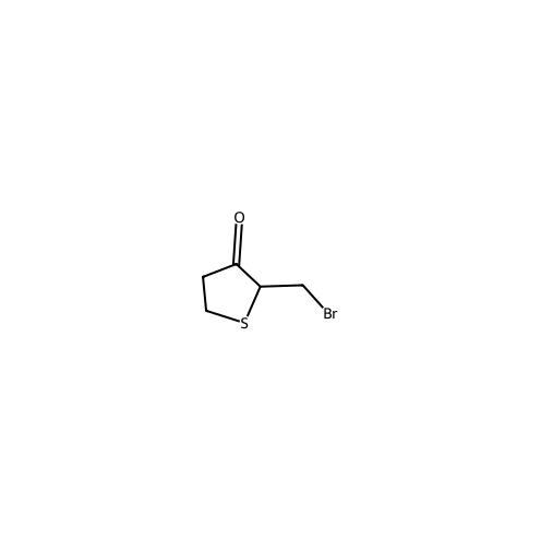 O=C1CCSC1CBr